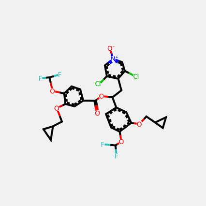 O=C(OC(Cc1c(Cl)c[n+]([O-])cc1Cl)c1ccc(OC(F)F)c(OCC2CC2)c1)c1ccc(OC(F)F)c(OCC2CC2)c1